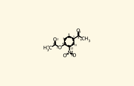 CC(=O)Oc1ccc(C(C)=O)cc1[N+](=O)[O-]